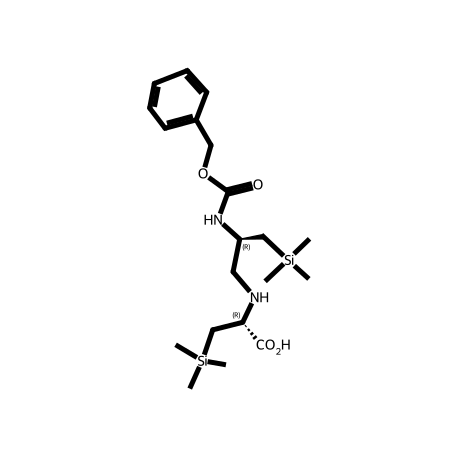 C[Si](C)(C)C[C@@H](CN[C@@H](C[Si](C)(C)C)C(=O)O)NC(=O)OCc1ccccc1